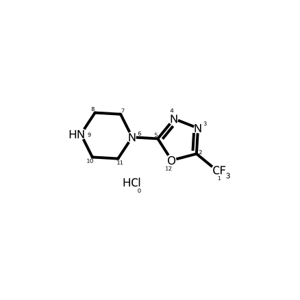 Cl.FC(F)(F)c1nnc(N2CCNCC2)o1